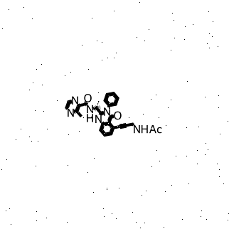 CC(=O)NCC#Cc1cccc2nc([C@@H](C)NC(=O)c3nccnc3C)n(-c3ccccc3)c(=O)c12